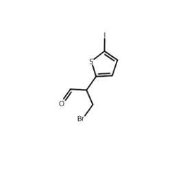 O=CC(CBr)c1ccc(I)s1